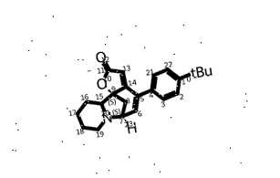 CC(C)(C)c1ccc(C2=C[C@@H]3C[C@@]4(OC(=O)C=C24)C2CCCCN23)cc1